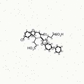 CCC(=Cc1oc2ccc(Cl)cc2[n+]1CCCS(=O)(=O)O)C=C1Oc2ccc(-c3ccccc3)cc2N1CCCS(=O)(=O)O